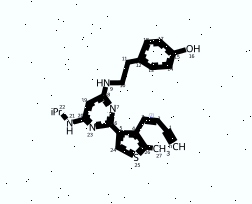 C#C/C=C\c1c(-c2nc(NCCc3ccc(O)cc3)cc(NC(C)C)n2)csc1C